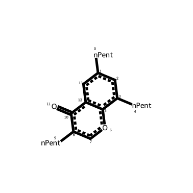 CCCCCc1cc(CCCCC)c2occ(CCCCC)c(=O)c2c1